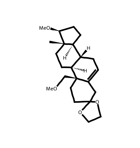 COC[C@]12CCC3(CC1=CC[C@@H]1[C@@H]2CC[C@]2(C)[C@@H](OC)CC[C@@H]12)OCCO3